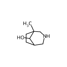 CC12CCC(CNC1)C2O